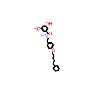 O=C(NCCc1ccc(OCCCCCc2ccccc2)cc1)c1cc(O)cc(O)c1